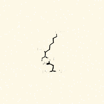 CCCCCCCCCCCCCCCC(O)C(CO)NC(=O)CC(O)CCCCCCCCC